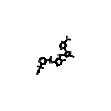 CNc1cc(-n2nc(C)cc2Nc2cc(NC(=O)c3ccnc(C(C)(C)C#N)c3)ccc2C)ncn1